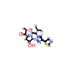 CCC(=O)[C@@H]1C[C@@H](O)CN1C(=O)[C@H](C(C)C)n1cc(-c2cncs2)nn1